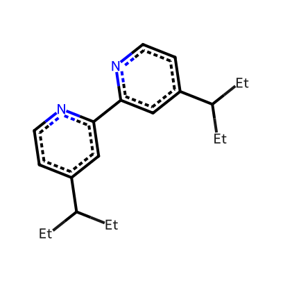 CCC(CC)c1ccnc(-c2cc(C(CC)CC)ccn2)c1